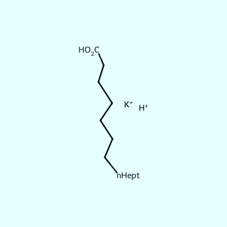 CCCCCCCCCCCCCC(=O)O.[H+].[K+]